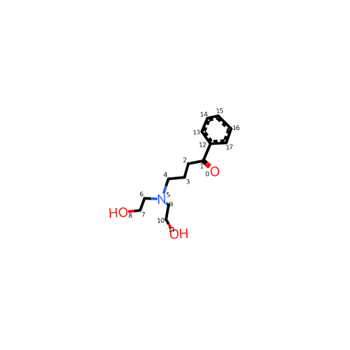 O=C(CCCN(CCO)CCO)c1ccccc1